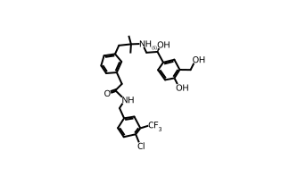 CC(C)(Cc1cccc(CC(=O)NCc2ccc(Cl)c(C(F)(F)F)c2)c1)NC[C@@H](O)c1ccc(O)c(CO)c1